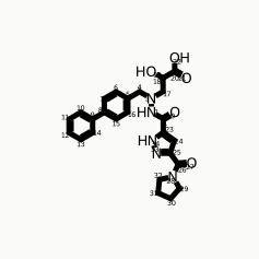 O=C(NN(Cc1ccc(-c2ccccc2)cc1)CC(O)C(=O)O)c1cc(C(=O)N2CCCC2)n[nH]1